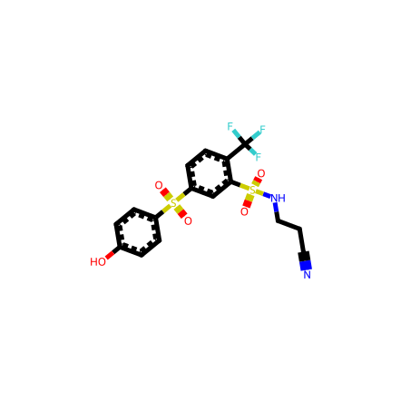 N#CCCNS(=O)(=O)c1cc(S(=O)(=O)c2ccc(O)cc2)ccc1C(F)(F)F